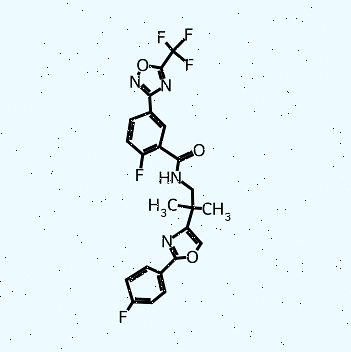 CC(C)(CNC(=O)c1cc(-c2noc(C(F)(F)F)n2)ccc1F)c1coc(-c2ccc(F)cc2)n1